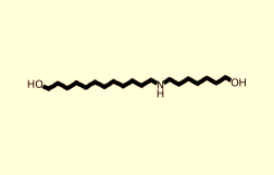 OCCCCCCCCCCCCNCCCCCCCO